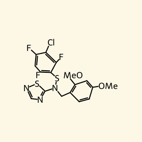 COc1ccc(CN(Sc2c(F)cc(F)c(Cl)c2F)c2ncns2)c(OC)c1